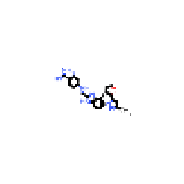 Cc1cc(-c2ccco2)n(-c2ccc3[nH]c(CNc4ccc(C(=N)N)cc4)nc3c2C)n1